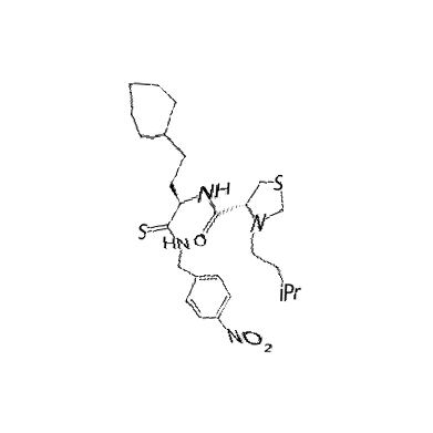 CC(C)CCN1CSC[C@H]1C(=O)N[C@H](CCC1CCCCC1)C(=S)NCc1ccc([N+](=O)[O-])cc1